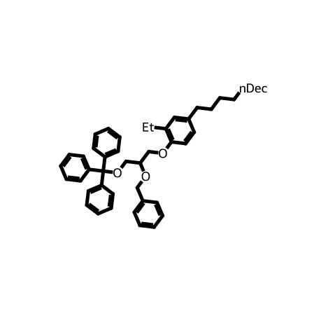 CCCCCCCCCCCCCCc1ccc(OCC(COC(c2ccccc2)(c2ccccc2)c2ccccc2)OCc2ccccc2)c(CC)c1